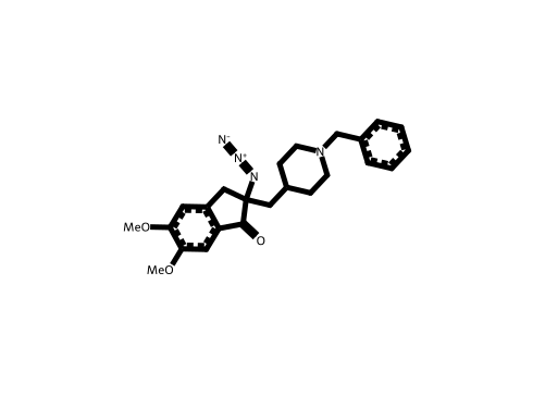 COc1cc2c(cc1OC)C(=O)C(CC1CCN(Cc3ccccc3)CC1)(N=[N+]=[N-])C2